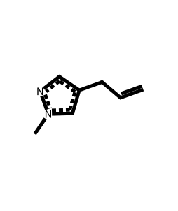 C=CCc1cnn(C)c1